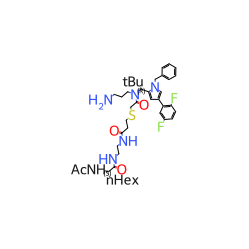 CCCCCC[C@H](NC(C)=O)C(=O)NCCNC(=O)CCSCC(=O)N(CCCN)[C@@H](c1cc(-c2cc(F)ccc2F)cn1Cc1ccccc1)C(C)(C)C